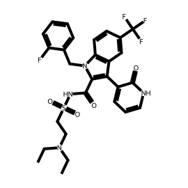 CCN(CC)CCS(=O)(=O)NC(=O)c1c(-c2ccc[nH]c2=O)c2cc(C(F)(F)F)ccc2n1Cc1ccccc1F